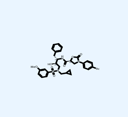 COc1cccc(S(=O)(=O)N(CC2CC2)C[C@@H](O)[C@H](Cc2ccccc2)NC(=O)[C@@H]2CN(c3ccc(C(C)=O)cc3)C(=O)O2)c1